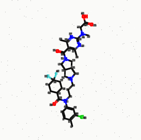 Cc1ccc(N(CCCN2CC3CN(C(=O)c4c(C)nc(N(C)CC(=O)O)nc4C)CC3C2)C(=O)C2CCC(F)(F)CC2)cc1Cl